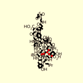 CC[C@H](C)[C@H](NC(=O)[C@H](CO)NC(=O)[C@H](Cc1ccc(O)cc1)NC(=O)[C@H](CC(=O)O)NC(=O)[C@H](CO)NC(=O)[C@@H](NC(=O)[C@H](Cc1ccccc1)NC(=O)[C@@H](NC(=O)CNC(=O)[C@H](CCC(=O)O)NC(=O)CC(C)(C)CC(=O)NCCN1C(=O)CSC1=O)[C@@H](C)O)[C@@H](C)O)C(=O)N[C@@H](Cc1ccc(O)cc1)C(=O)N[C@@H](CCC(C)C)C(=O)N[C@@H](CC(=O)O)C(=O)N[C@H](C)CCCCN